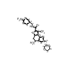 CC1Cc2oc(C(=O)NCc3cnc(C(F)(F)F)nc3)c(C(F)(F)F)c2-c2nn(C[C@H]3COCCO3)cc21